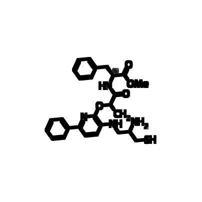 COC(=O)[C@H](Cc1ccccc1)NC(=O)C(C)Oc1nc(-c2ccccc2)ccc1NCC(N)CS